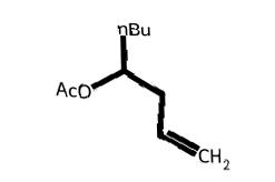 [CH2]CCCC(CC=C)OC(C)=O